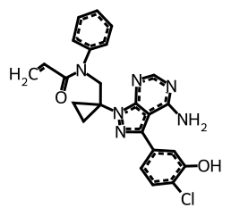 C=CC(=O)N(CC1(n2nc(-c3ccc(Cl)c(O)c3)c3c(N)ncnc32)CC1)c1ccccc1